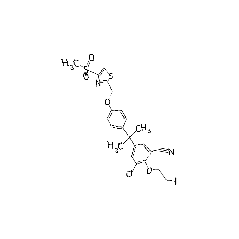 CC(C)(c1ccc(OCc2nc(S(C)(=O)=O)cs2)cc1)c1cc(Cl)c(OCCI)c(C#N)c1